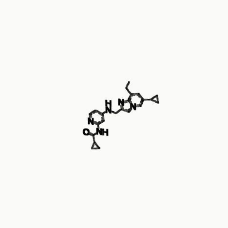 CCc1cc(C2CC2)cn2cc(CNc3ccnc(NC(=O)C4CC4)c3)nc12